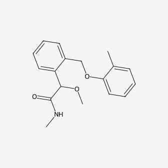 CNC(=O)C(OC)c1ccccc1COc1ccccc1C